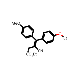 CCOC(=O)CC(C#N)=C(c1ccc(OC)cc1)c1ccc(OCC)cc1